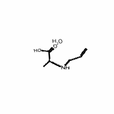 C=CCNC(C)C(=O)O.O